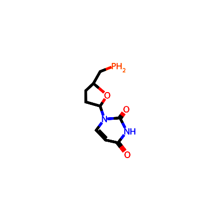 O=c1ccn(C2CCC(CP)O2)c(=O)[nH]1